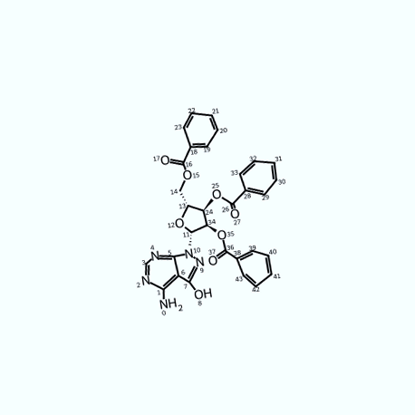 Nc1ncnc2c1c(O)nn2[C@@H]1O[C@H](COC(=O)c2ccccc2)[C@@H](OC(=O)c2ccccc2)[C@H]1OC(=O)c1ccccc1